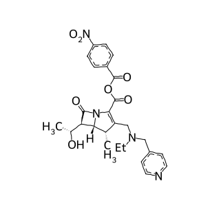 CCN(CC1=C(C(=O)OC(=O)c2ccc([N+](=O)[O-])cc2)N2C(=O)[C@H]([C@@H](C)O)[C@H]2[C@H]1C)Cc1ccncc1